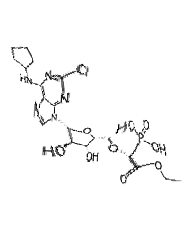 CCOC(=O)[C@H](OC[C@H]1O[C@@H](n2cnc3c(NC4CCCC4)nc(Cl)nc32)[C@H](O)[C@H]1O)P(=O)(O)O